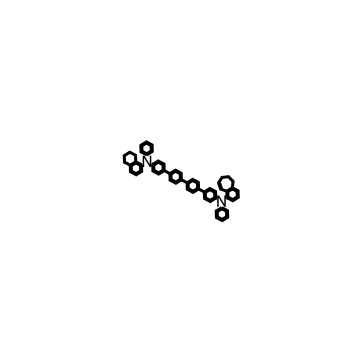 C1=Cc2c(cccc2N(c2ccccc2)c2ccc(-c3ccc(-c4ccc(-c5ccc(N(c6ccccc6)c6cccc7c6CCCC7)cc5)cc4)cc3)cc2)CCC1